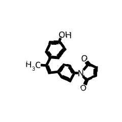 CC(=Cc1ccc(N2C(=O)C=CC2=O)cc1)c1ccc(O)cc1